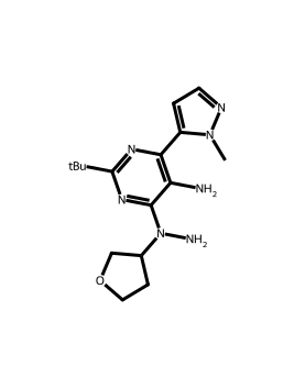 Cn1nccc1-c1nc(C(C)(C)C)nc(N(N)C2CCOC2)c1N